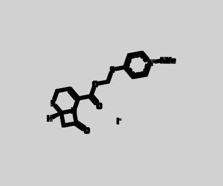 CN[n+]1ccc(SCOC(=O)C2=CCS[C@H]3CC(=O)N23)cc1.[I-]